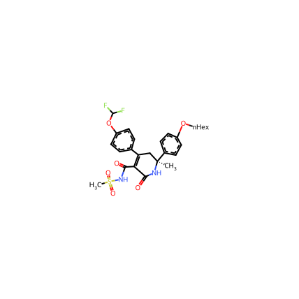 CCCCCCOc1ccc([C@]2(C)CC(c3ccc(OC(F)F)cc3)=C(C(=O)NS(C)(=O)=O)C(=O)N2)cc1